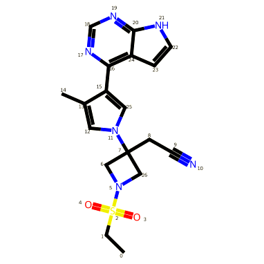 CCS(=O)(=O)N1CC(CC#N)(n2cc(C)c(-c3ncnc4[nH]ccc34)c2)C1